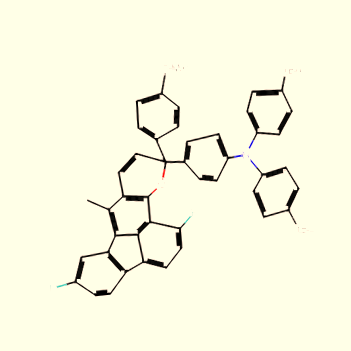 COc1ccc(C2(c3ccc(N(c4ccc(C(C)(C)C)cc4)c4ccc(C(C)(C)C)cc4)cc3)C=Cc3c(C)c4c5c(ccc(F)c5c3O2)-c2ccc(F)cc2-4)cc1